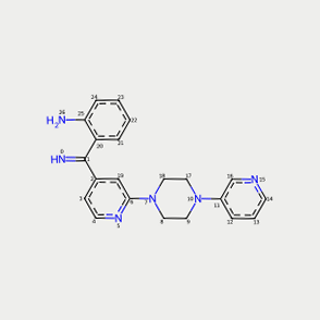 N=C(c1ccnc(N2CCN(c3cccnc3)CC2)c1)c1ccccc1N